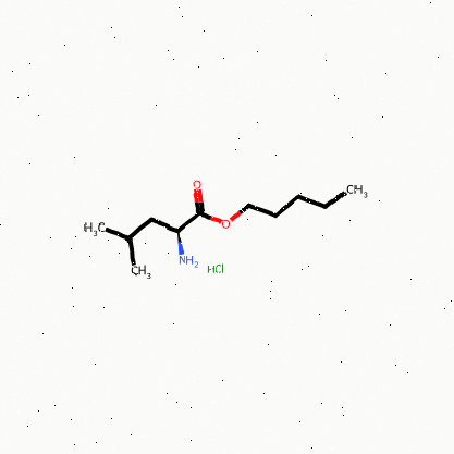 CCCCCOC(=O)[C@@H](N)CC(C)C.Cl